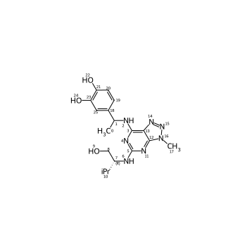 CC(Nc1nc(N[C@@H](CO)C(C)C)nc2c1nnn2C)c1ccc(O)c(O)c1